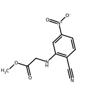 COC(=O)CNc1cc([N+](=O)[O-])ccc1C#N